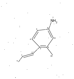 CC=Cc1ccc(N)cc1C